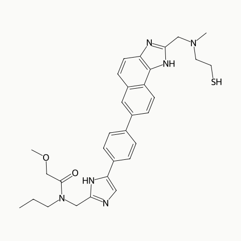 CCCN(Cc1ncc(-c2ccc(-c3ccc4c(ccc5nc(CN(C)CCS)[nH]c54)c3)cc2)[nH]1)C(=O)COC